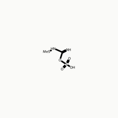 CSNC(=N)OS(=O)(=O)O